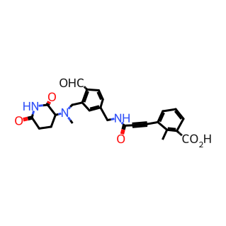 Cc1c(C#CC(=O)NCc2ccc(C=O)c(CN(C)C3CCC(=O)NC3=O)c2)cccc1C(=O)O